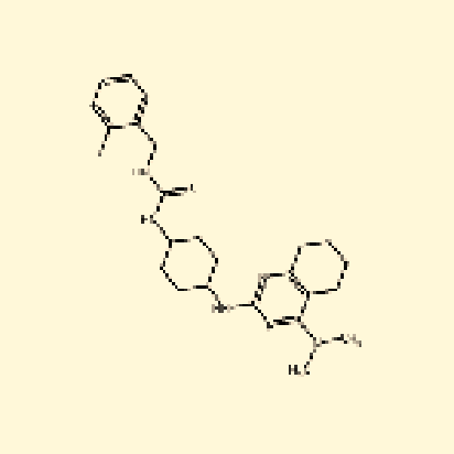 CN(C)c1nc(NC2CCC(NC(=S)NCc3ccccc3F)CC2)nc2c1CCCC2